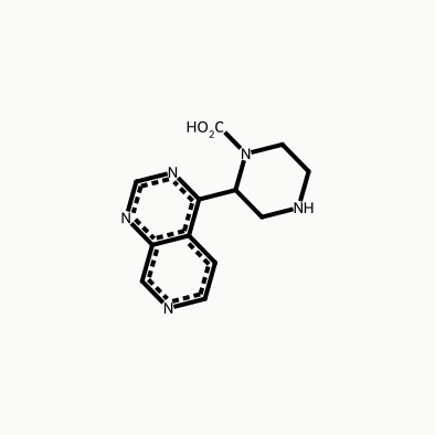 O=C(O)N1CCNCC1c1ncnc2cnccc12